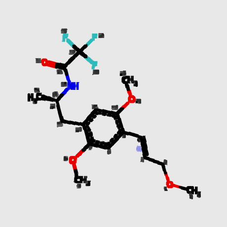 COC/C=C/c1cc(OC)c(C[C@@H](C)NC(=O)C(F)(F)F)cc1OC